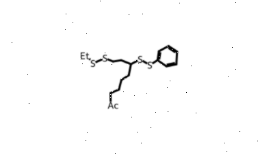 CCSSCCC(CCCCC(C)=O)SSc1ccccc1